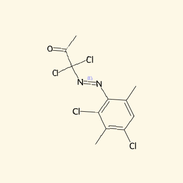 CC(=O)C(Cl)(Cl)/N=N/c1c(C)cc(Cl)c(C)c1Cl